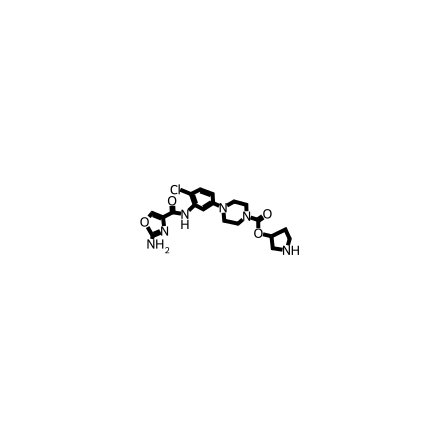 Nc1nc(C(=O)Nc2cc(N3CCN(C(=O)OC4CCNC4)CC3)ccc2Cl)co1